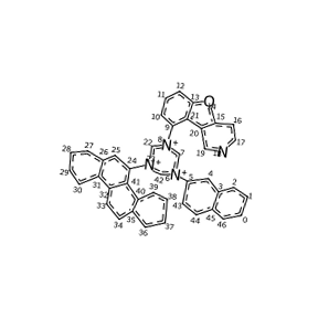 c1ccc2cc(-[n+]3c[n+](-c4cccc5oc6ccncc6c45)c[n+](-c4cc5ccccc5c5ccc6ccccc6c45)c3)ccc2c1